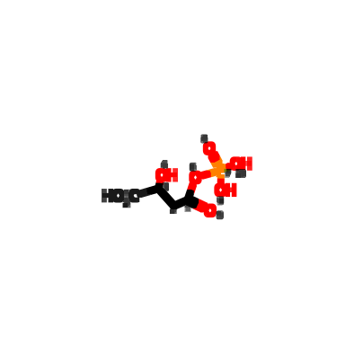 O=C(CC(O)C(=O)O)OP(=O)(O)O